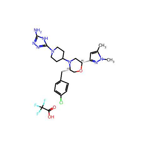 Cc1cc([C@H]2CN(C3CCN(c4nnc(N)[nH]4)CC3)[C@@H](Cc3ccc(Cl)cc3)CO2)nn1C.O=C(O)C(F)(F)F